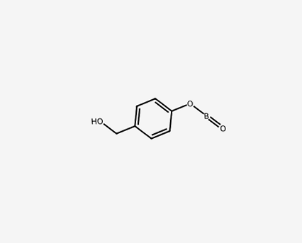 O=BOc1ccc(CO)cc1